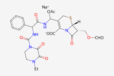 CCN1CCN(C(=O)NC(C(=O)NC(OC(C)=O)C2=C(C(=O)[O-])N3C(=O)[C@@H](COC=O)[C@H]3SC2)c2ccccc2)C(=O)C1=O.[Na+]